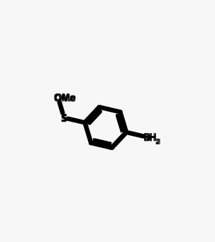 Bc1ccc(SOC)cc1